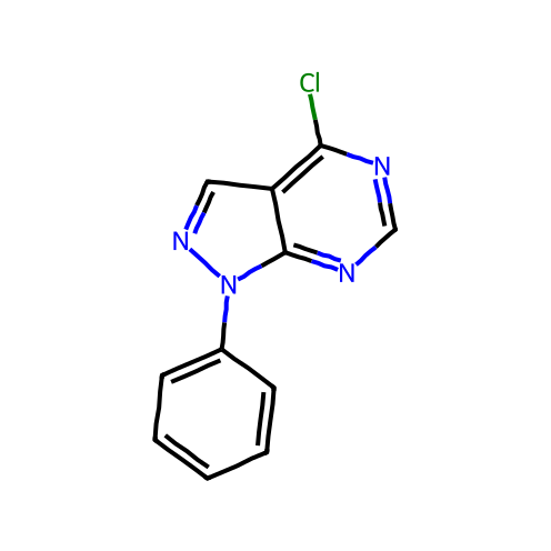 Clc1ncnc2c1cnn2-c1ccccc1